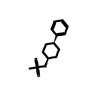 CS(=O)(=O)O[C@H]1CC[C@H](c2ccccc2)CC1